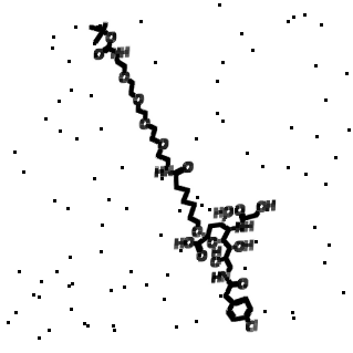 CC(C)(C)OC(=O)NCCOCCOCCOCCOCCNC(=O)CCCCCCO[C@]1(C(=O)O)C[C@H](O)[C@@H](NC(=O)CO)[C@H]([C@H](O)[C@H](O)CNC(=O)Cc2ccc(Cl)cc2)O1